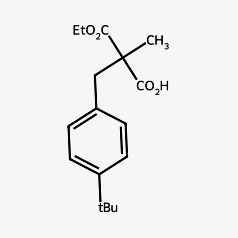 CCOC(=O)C(C)(Cc1ccc(C(C)(C)C)cc1)C(=O)O